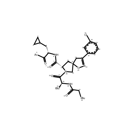 CC(=O)C(=O)[C@H](CC1CC1)NC(=O)[C@@H]1C[C@]2(CC(c3cccc(Cl)c3)=NO2)CN1C(=O)[C@@H](NC(=O)CC(C)(C)C)C(C)(C)C